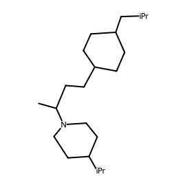 CC(C)CC1CCC(CCC(C)N2CCC(C(C)C)CC2)CC1